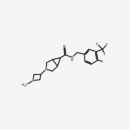 CN1CC(N2CC3C(C2)C3C(=O)NCc2ccc(F)c(C(F)(F)F)c2)C1